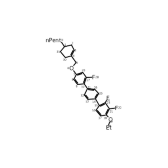 CCCCCC1CC=C(COc2ccc(-c3ccc(-c4ccc(OCC)c(F)c4F)cc3)c(F)c2)CC1